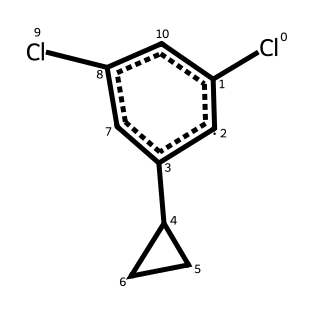 Clc1[c]c(C2CC2)cc(Cl)c1